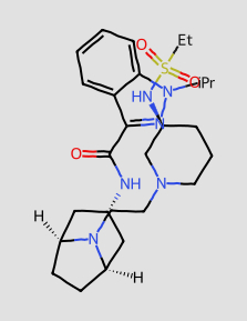 CCS(=O)(=O)N[C@H]1CCCN(CCN2[C@@H]3CC[C@H]2C[C@H](NC(=O)c2nn(C(C)C)c4ccccc24)C3)C1